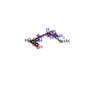 CC(=O)NCCCC[C@H](NC(=O)CNC(=O)[C@H](CC(C)C)NC(=O)CCCCCNC(=O)c1ccc(-c2c3ccc(=O)cc-3oc3cc(O)ccc23)c(C(=O)O)c1)C(N)=O